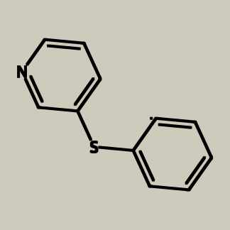 [c]1ccccc1Sc1cccnc1